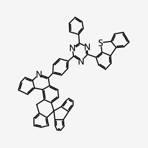 c1ccc(-c2nc(-c3ccc(-c4nc5ccccc5c5c6c(ccc45)C4(c5ccccc5C6)c5ccccc5-c5ccccc54)cc3)nc(-c3cccc4c3sc3ccccc34)n2)cc1